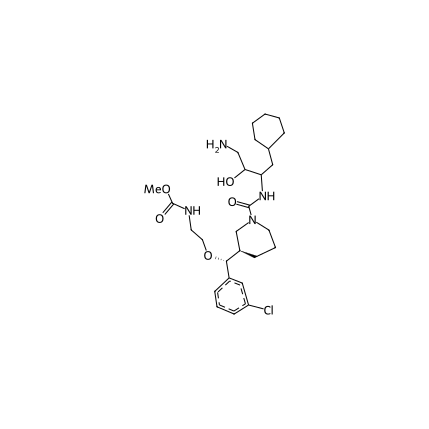 COC(=O)NCCO[C@@H](c1cccc(Cl)c1)[C@@H]1CCCN(C(=O)NC(CC2CCCCC2)C(O)CN)C1